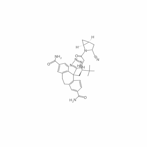 CC(C)(C)[C@@H](CC1(c2nnn[nH]2)c2ccc(C(N)=O)cc2CCc2cc(C(N)=O)ccc21)NCC(=O)N1C(C#N)C[C@@H]2C[C@@H]21